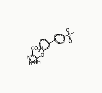 CS(=O)(=O)c1ccc(-c2cccc(Oc3[nH]nnc3C(=O)O)c2)cc1